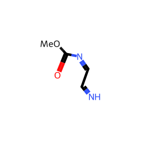 COC(=O)/N=C\C=N